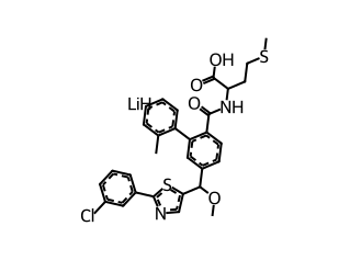 COC(c1ccc(C(=O)NC(CCSC)C(=O)O)c(-c2ccccc2C)c1)c1cnc(-c2cccc(Cl)c2)s1.[LiH]